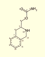 NC(=O)OCC1Cc2ccccc2CN1